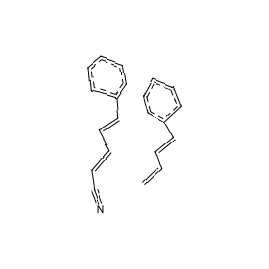 C=CC=Cc1ccccc1.N#CC=CC=Cc1ccccc1